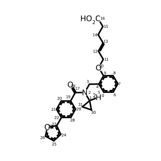 [2H]C1(N(Cc2ccccc2OC/C=C/CCC(=O)O)C(=O)c2ccc(-c3ccco3)cc2)CC1